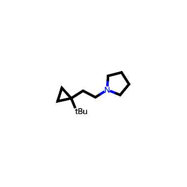 CC(C)(C)C1(CCN2CCCC2)CC1